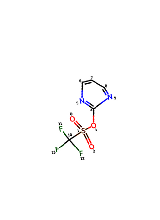 O=S(=O)(Oc1ncccn1)C(F)(F)F